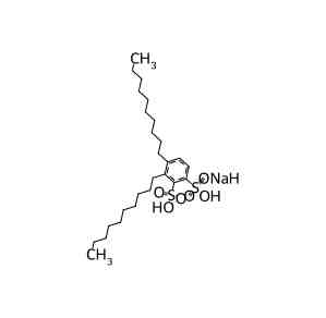 CCCCCCCCCCc1ccc(S(=O)(=O)O)c(S(=O)(=O)O)c1CCCCCCCCCC.[NaH]